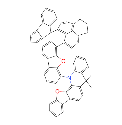 CC1(C)c2ccccc2N(c2cccc3c2oc2c4c(ccc23)C2(c3ccccc3-c3ccccc32)c2ccc3c5c(ccc-4c25)CCC3)c2c1ccc1c2oc2ccccc21